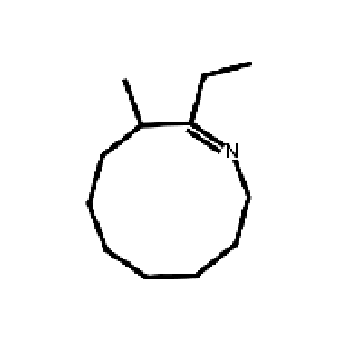 CC/C1=N/CCCCCCCC1C